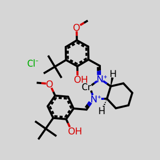 COc1cc(C=[N+]2[Cr][N+](=Cc3cc(OC)cc(C(C)(C)C)c3O)[C@@H]3CCCC[C@H]32)c(O)c(C(C)(C)C)c1.[Cl-]